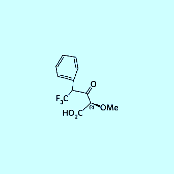 CO[C@@H](C(=O)O)C(=O)C(c1ccccc1)C(F)(F)F